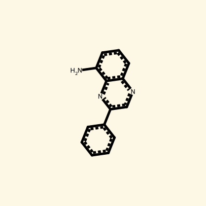 Nc1cccc2ncc(-c3ccccc3)nc12